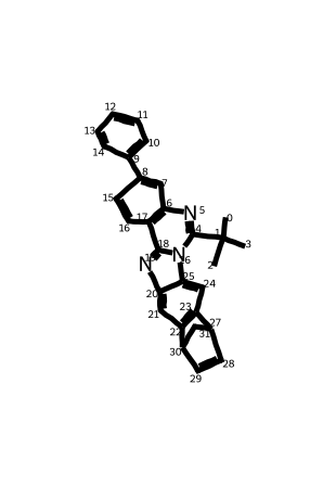 CC(C)(C)c1nc2cc(-c3ccccc3)ccc2c2nc3cc4c(cc3n12)C1C=CC4C1